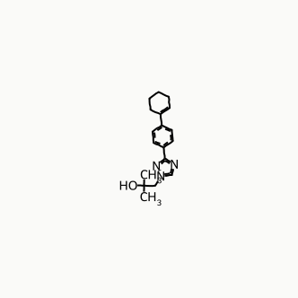 CC(C)(O)Cn1cnc(-c2ccc(C3=CCCCC3)cc2)n1